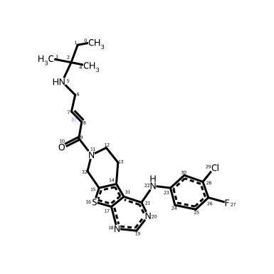 CCC(C)(C)NC/C=C/C(=O)N1CCc2c(sc3ncnc(Nc4ccc(F)c(Cl)c4)c23)C1